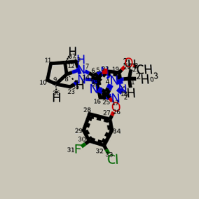 [2H]C([2H])([2H])n1nc(N[C@H]2[C@@H]3CC[C@H]2CN(c2cnnc(OC)c2)C3)nc1Oc1ccc(F)c(Cl)c1